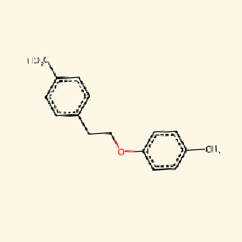 Cc1ccc(OCCc2ccc(C(=O)O)cc2)cc1